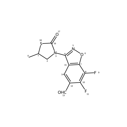 CC1CN(c2noc3c(F)c(F)c(C=O)cc23)C(=O)S1